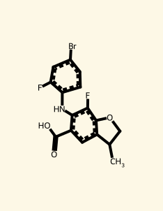 CC1COc2c1cc(C(=O)O)c(Nc1ccc(Br)cc1F)c2F